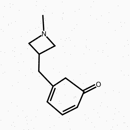 CN1CC(CC2=CC=CC(=O)C2)C1